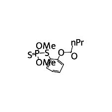 CCCC(=O)Oc1ccccc1SP(=S)(OC)OC